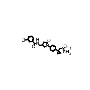 CN(C)CC1(c2ccc(N3CC(CNC(=O)c4cccc(Cl)c4)CC3=O)cc2)CC1